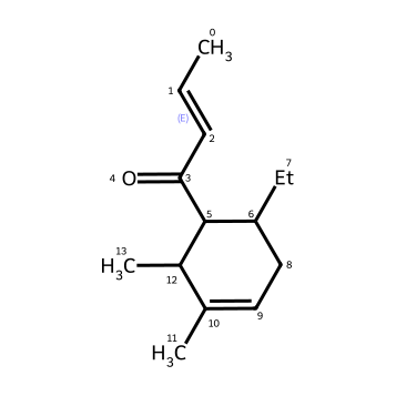 C/C=C/C(=O)C1C(CC)CC=C(C)C1C